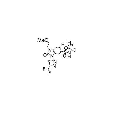 COCCn1c(=O)n(-c2nnc(C(F)F)s2)c2cc(S(=O)(=O)NC3(C)CC3)c(F)cc21